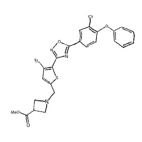 CCc1cc(CN2CC(C(=O)OC)C2)sc1-c1noc(-c2ccc(Oc3ccccc3)c(Cl)c2)n1